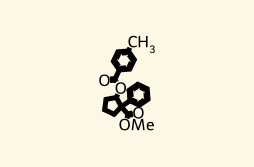 COC(=O)C1(c2ccccc2)CCCC1OC(=O)c1ccc(C)cc1